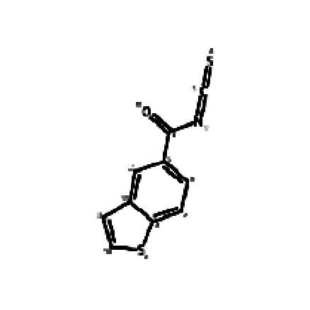 O=C(N=C=S)c1ccc2sccc2c1